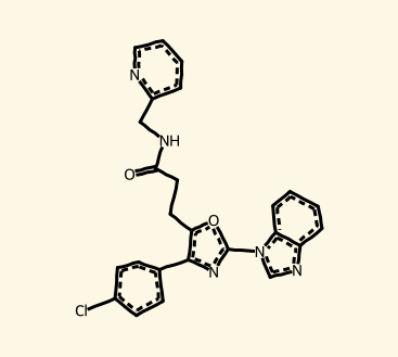 O=C(CCc1oc(-n2cnc3ccccc32)nc1-c1ccc(Cl)cc1)NCc1ccccn1